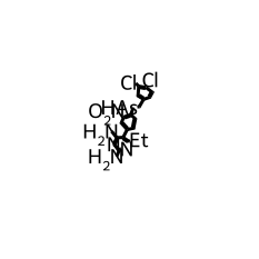 CCc1nc(N)nc(N)c1-c1ccc([AsH]Cc2ccc(Cl)c(Cl)c2)c([N+](=O)[O-])c1